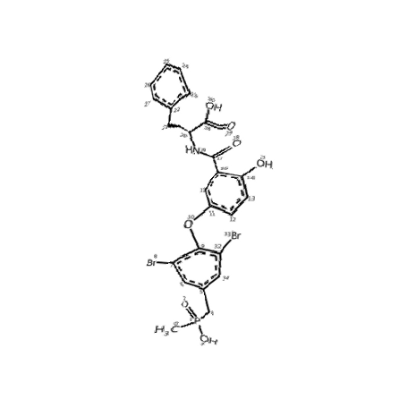 CP(=O)(O)Cc1cc(Br)c(Oc2ccc(O)c(C(=O)N[C@@H](Cc3ccccc3)C(=O)O)c2)c(Br)c1